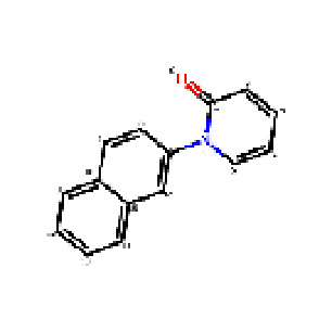 O=c1ccccn1-c1ccc2ccccc2c1